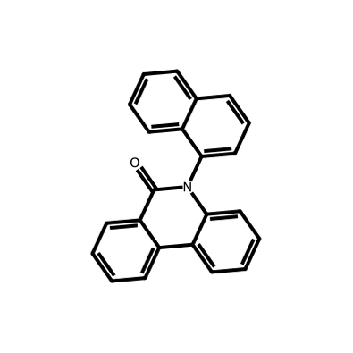 O=c1c2ccccc2c2ccccc2n1-c1cccc2ccccc12